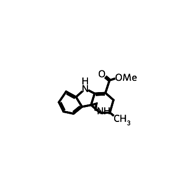 COC(=O)C1=C2Nc3ccccc3C23CCNC3C(C)C1